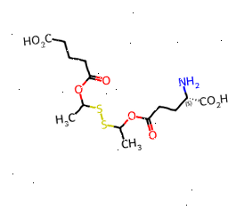 CC(OC(=O)CCCC(=O)O)SSC(C)OC(=O)CC[C@H](N)C(=O)O